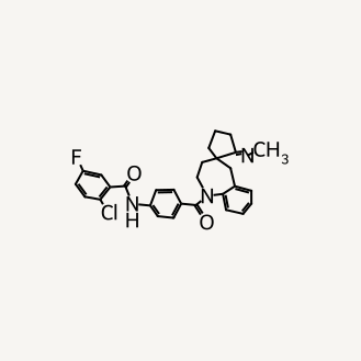 C/N=C1\CCCC12CCN(C(=O)c1ccc(NC(=O)c3cc(F)ccc3Cl)cc1)c1ccccc1C2